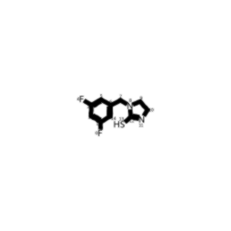 Fc1cc(F)cc(CN2CCN=C2S)c1